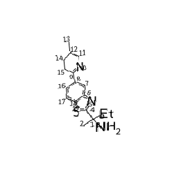 CCC(C)(N)c1nc2cc(C3=NCC(C)CC3)ccc2s1